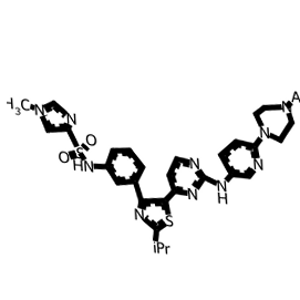 CC(=O)N1CCN(c2ccc(Nc3nccc(-c4sc(C(C)C)nc4-c4cccc(NS(=O)(=O)c5cn(C)cn5)c4)n3)cn2)CC1